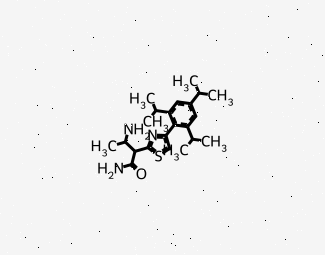 CC(C)c1cc(C(C)C)c(-c2csc(C(C(N)=O)C(C)N)n2)c(C(C)C)c1